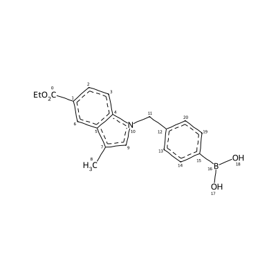 CCOC(=O)c1ccc2c(c1)c(C)cn2Cc1ccc(B(O)O)cc1